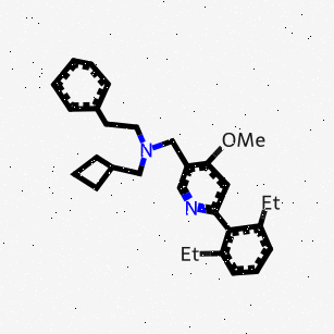 CCc1cccc(CC)c1-c1cc(OC)c(CN(CCc2ccccc2)CC2CCC2)cn1